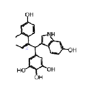 C/C=C(\c1ccc(O)cc1C)C(c1cc(O)c(O)c(O)c1)c1c[nH]c2cc(O)ccc12